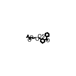 C=C(C)C(=O)OCCOC(=O)c1cccc2c(=O)c3ccccc3sc12